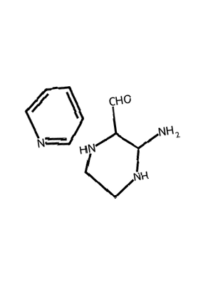 NC1NCCNC1C=O.c1ccncc1